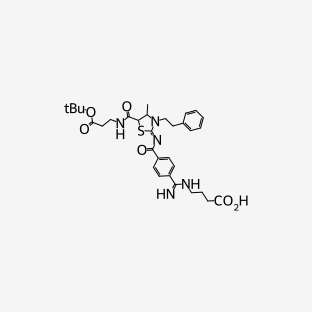 CC1C(C(=O)NCCC(=O)OC(C)(C)C)SC(=NC(=O)c2ccc(C(=N)NCCCC(=O)O)cc2)N1CCc1ccccc1